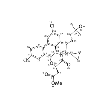 COC(=O)C[C@H]1O[C@H](c2cccc(Cl)c2)[C@@H](c2ccc(Cl)cc2)N([C@H](CSCC(C)(C)O)C2CC2)C1=O